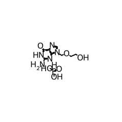 Nc1nc2c(ncn2COCCO)c(=O)[nH]1.O=[PH](O)O